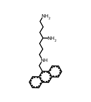 NCCCC(N)CCCNCc1c2ccccc2cc2ccccc12